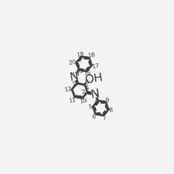 OC1C(=Nc2ccccc2)C=CCC1=Nc1ccccc1